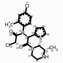 Cc1cc(Cl)ccc1N(C(=O)CCl)[C@H](C(=O)N1CCN[C@@H](C)C1)c1cccs1